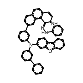 N=C1C=Cc2ccc3ccc(-c4cccc(N(c5cccc(-c6ccccc6)c5)c5ccc6c(c5)oc5ccccc56)c4)cc3c2/C1=N/Nc1ccccc1